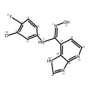 O/N=C(/Nc1ccc(F)c(Cl)c1)c1ccnc2nc[nH]c12